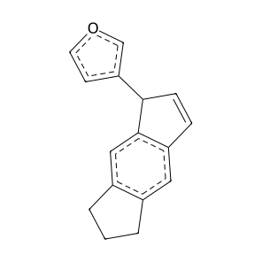 C1=CC(c2ccoc2)c2cc3c(cc21)CCC3